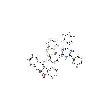 C1=C(c2cc(-c3nc(-c4ccccc4)nc(-c4ccccc4)n3)c3c(c2)oc2ccccc23)c2c(oc3cc4ccccc4cc23)CC1